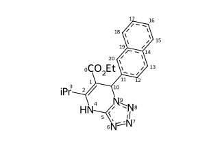 CCOC(=O)C1=C(C(C)C)Nc2nnnn2C1c1ccc2ccccc2c1